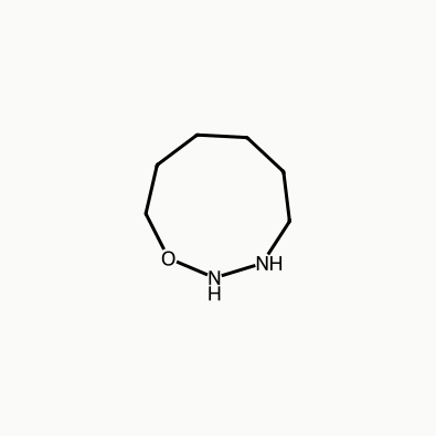 C1CCCONNCC1